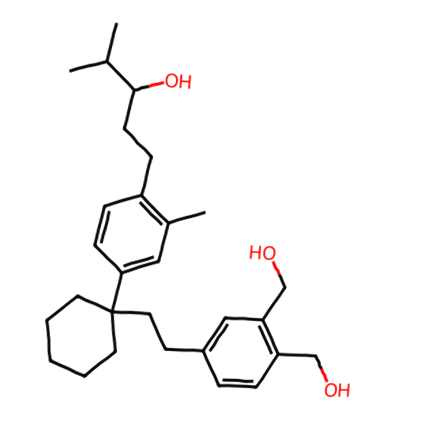 Cc1cc(C2(CCc3ccc(CO)c(CO)c3)CCCCC2)ccc1CCC(O)C(C)C